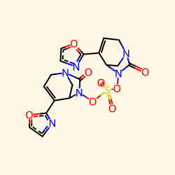 O=C1N2CC=C(c3ncco3)C(C2)N1OS(=O)(=O)ON1C(=O)N2CC=C(c3ncco3)C1C2